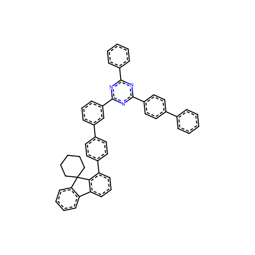 c1ccc(-c2ccc(-c3nc(-c4ccccc4)nc(-c4cccc(-c5ccc(-c6cccc7c6C6(CCCCC6)c6ccccc6-7)cc5)c4)n3)cc2)cc1